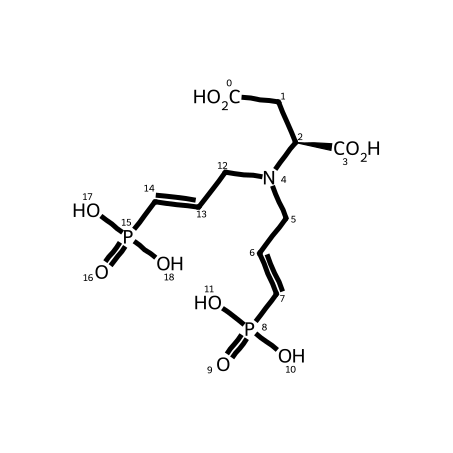 O=C(O)C[C@@H](C(=O)O)N(CC=CP(=O)(O)O)CC=CP(=O)(O)O